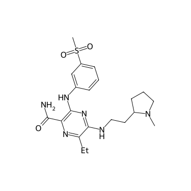 CCc1nc(C(N)=O)c(Nc2cccc(S(C)(=O)=O)c2)nc1NCCC1CCCN1C